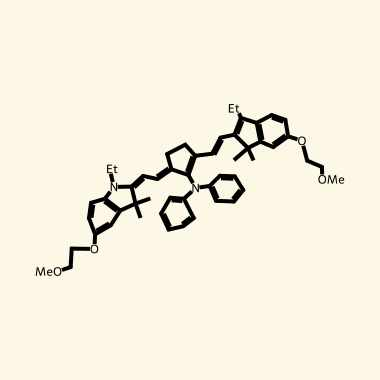 CCC1=C(/C=C/C2=C(N(c3ccccc3)c3ccccc3)C(=C/C=C3/N(CC)c4ccc(OCCOC)cc4C3(C)C)/CC2)C(C)(C)c2cc(OCCOC)ccc21